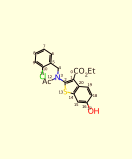 CCOC(=O)c1c(N(Cc2ccccc2Cl)C(C)=O)sc2cc(O)ccc12